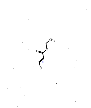 CCOC(=O)/C=C/Cl